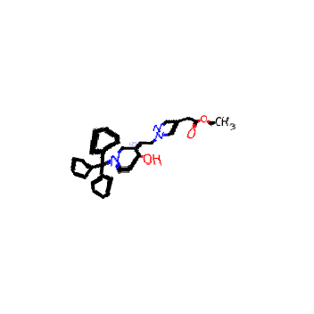 CCOC(=O)Cc1cnn(C/C=C2/CN(C(c3ccccc3)(c3ccccc3)c3ccccc3)CCC2O)c1